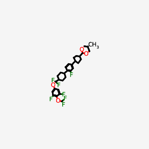 CC1COC(C2CCC(c3ccc(C4CCC(C(F)(F)Oc5cc(F)c(OC(F)F)c(F)c5)CC4)c(F)c3)CC2)OC1